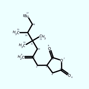 C=C(CC1CC(=O)OC1=O)CC(C)(C)C(C)CC(C)(C)C